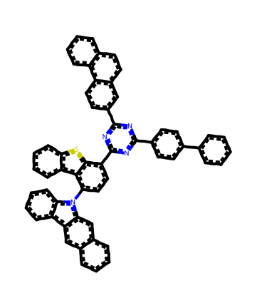 c1ccc(-c2ccc(-c3nc(-c4ccc5c(ccc6ccccc65)c4)nc(-c4ccc(-n5c6ccccc6c6cc7ccccc7cc65)c5c4sc4ccccc45)n3)cc2)cc1